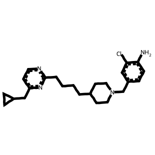 Nc1ccc(CN2CCC(CCCCc3nccc(CC4CC4)n3)CC2)cc1Cl